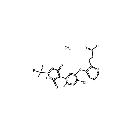 C.O=C(O)COc1ncccc1Oc1cc(-n2c(=O)cc(C(F)(F)F)[nH]c2=O)c(F)cc1Cl